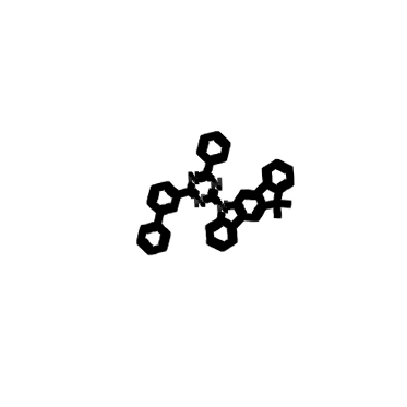 CC1(C)c2ccccc2-c2cc3c(cc21)c1ccccc1n3-c1nc(-c2ccccc2)nc(-c2cccc(-c3ccccc3)c2)n1